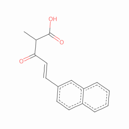 CC(C(=O)O)C(=O)C=Cc1ccc2ccccc2c1